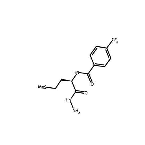 CSCC[C@@H](NC(=O)c1ccc(C(F)(F)F)cc1)C(=O)NN